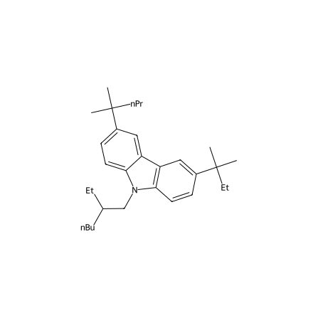 CCCCC(CC)Cn1c2ccc(C(C)(C)CC)cc2c2cc(C(C)(C)CCC)ccc21